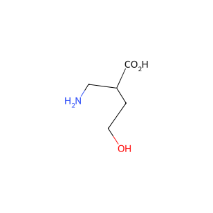 NCC(CCO)C(=O)O